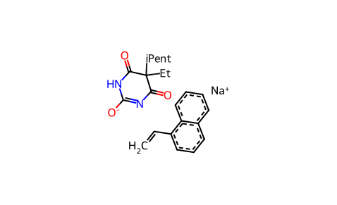 C=Cc1cccc2ccccc12.CCCC(C)C1(CC)C(=O)N=C([O-])NC1=O.[Na+]